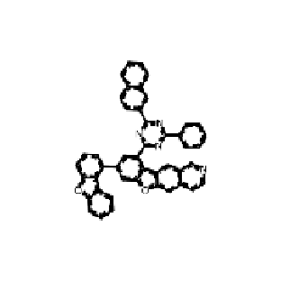 c1ccc(-c2nc(-c3ccc4ccccc4c3)nc(-c3cc(-c4cccc5oc6ccccc6c45)cc4oc5cc6ccncc6cc5c34)n2)cc1